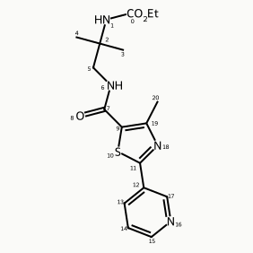 CCOC(=O)NC(C)(C)CNC(=O)c1sc(-c2cccnc2)nc1C